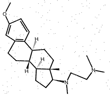 COc1ccc2c(c1)CC[C@@H]1[C@@H]2CC[C@]2(C)[C@@H](N(C)CCN(C)C)CC[C@@H]12